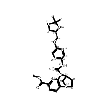 COC(=O)c1ccc2c(n1)N(C(=O)Nc1cnc(OC[C@H]3COC(C)(C)O3)cn1)C1CCN2C1